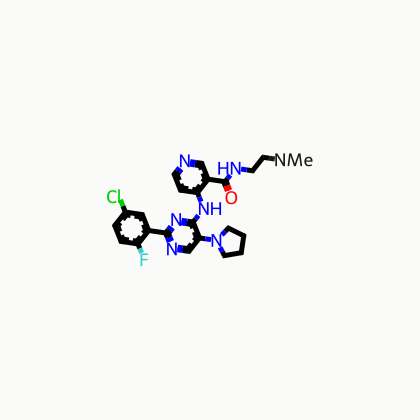 CNCCNC(=O)c1cnccc1Nc1nc(-c2cc(Cl)ccc2F)ncc1N1CCCC1